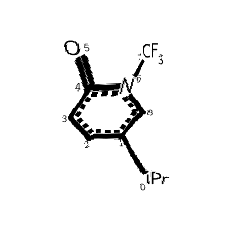 CC(C)c1ccc(=O)n(C(F)(F)F)c1